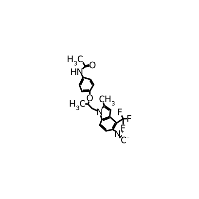 [C-]#[N+]c1ccc2c(cc(C)n2CC(C)Oc2ccc(NC(C)=O)cc2)c1C(F)(F)F